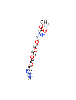 CCOC(=O)CNCCOCCOCCOCCOCCN=[N+]=[N-]